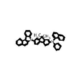 CC1(C)c2cc(N(c3ccccc3)c3cccc4ccccc34)ccc2-c2ccc(-n3c4ccccc4c4c5ccccc5ccc43)cc21